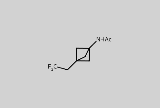 CC(=O)NC12CC(CC(F)(F)F)(C1)C2